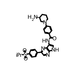 CC(C)S(=O)(=O)c1ccc(-c2cnc3[nH]cc(NC(=O)c4ccc(N5CCC[C@H](N)C5)cc4)c3n2)cc1